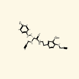 C#CCOc1ccc(CCNC(=O)[C@@H](COc2ccc(CC)cc2)OCC#C)cc1OC